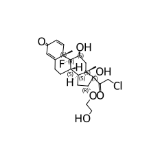 C[C@]12C=CC(=O)C=C1CC[C@H]1[C@@H]3C[C@@H](OCCO)[C@](O)(C(=O)CCl)[C@@]3(C)C[C@H](O)[C@@]12F